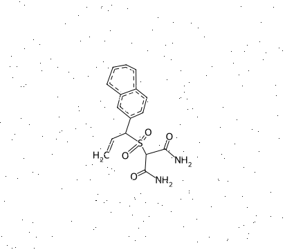 C=CC(c1ccc2ccccc2c1)S(=O)(=O)C(C(N)=O)C(N)=O